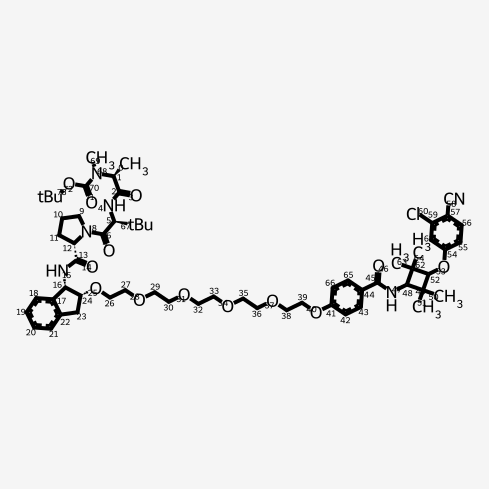 C[C@@H](C(=O)N[C@H](C(=O)N1CCC[C@H]1C(=O)N[C@H]1c2ccccc2C[C@H]1OCCOCCOCCOCCOCCOc1ccc(C(=O)NC2C(C)(C)C(Oc3ccc(C#N)c(Cl)c3)C2(C)C)cc1)C(C)(C)C)N(C)C(=O)OC(C)(C)C